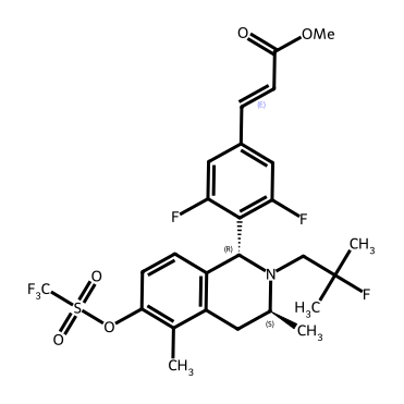 COC(=O)/C=C/c1cc(F)c([C@H]2c3ccc(OS(=O)(=O)C(F)(F)F)c(C)c3C[C@H](C)N2CC(C)(C)F)c(F)c1